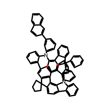 c1ccc(C2(c3ccccc3)c3ccccc3-c3c(N(c4cccc(-c5ccc6ccccc6c5)c4)c4ccccc4-c4cc5c6c(c4)C4(CCCC4)c4ccc7c8ccccc8n(c7c4-6)-c4ccccc4-5)cccc32)cc1